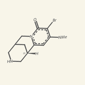 CNc1cc2n(c(=O)c1Br)CC1CNC[C@@H]2C1